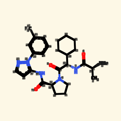 CN[C@@H](C)C(=O)N[C@H](C(=O)N1CCC[C@H]1C(=O)Nc1ccnn1-c1cccc(C(F)(F)F)c1)C1CCCCC1